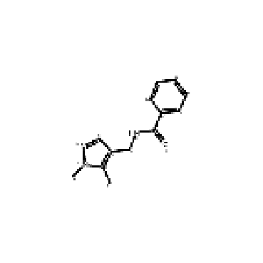 Cc1c(CNC(=O)c2ccccc2)cnn1C